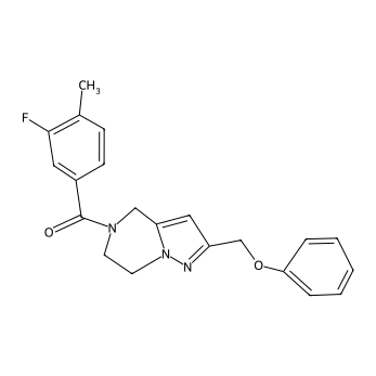 Cc1ccc(C(=O)N2CCn3nc(COc4ccccc4)cc3C2)cc1F